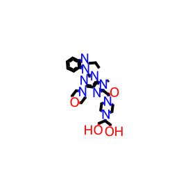 CCc1nc2ccccc2n1-c1nc(N2CCOCC2)c2nc(C(=O)N3CCN(C(CO)CO)CC3)n(C)c2n1